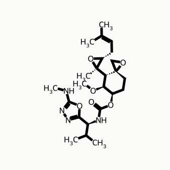 CNc1nnc([C@@H](NC(=O)O[C@@H]2CC[C@]3(CO3)[C@@H]([C@@]3(C)O[C@@H]3CC=C(C)C)[C@@H]2OC)C(C)C)o1